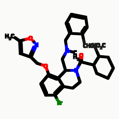 Cc1cc(COc2ccc(Br)c3c2C(CN(C)Cc2ccccc2C=O)N(C(=O)C2CCCCC2C(=O)O)CC3)no1